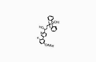 COc1ccc(F)c(-c2ccc(C(O)CCC(C)(C)[Si](O)(c3ccccc3)c3ccccc3)nc2)c1